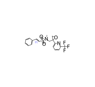 CN(CC1(c2cccc(C(F)(F)F)n2)CO1)S(=O)(=O)/C=C/c1ccccc1